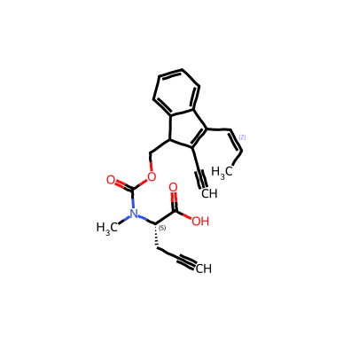 C#CC[C@@H](C(=O)O)N(C)C(=O)OCC1C(C#C)=C(/C=C\C)c2ccccc21